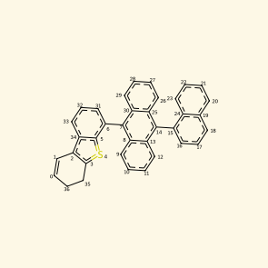 C1=Cc2c(sc3c(-c4c5ccccc5c(-c5cccc6ccccc56)c5ccccc45)cccc23)CC1